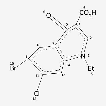 CCn1cc(C(=O)O)c(=O)c2cc(Br)c(Cl)cc21